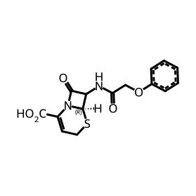 O=C(COc1ccccc1)NC1C(=O)N2C(C(=O)O)=CCS[C@H]12